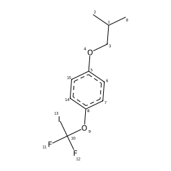 CC(C)COc1ccc(OC(F)(F)I)cc1